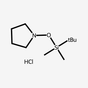 CC(C)(C)[Si](C)(C)ON1CCCC1.Cl